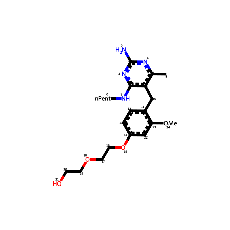 CCCCCNc1nc(N)nc(C)c1Cc1ccc(OCCOCCO)cc1OC